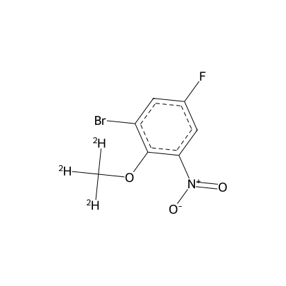 [2H]C([2H])([2H])Oc1c(Br)cc(F)cc1[N+](=O)[O-]